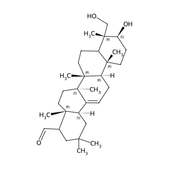 CC1(C)CC(C=O)[C@]2(C)CC[C@]3(C)C(=CC[C@@H]4[C@@]5(C)CC[C@H](O)[C@@](C)(CO)C5CC[C@]43C)[C@H]2C1